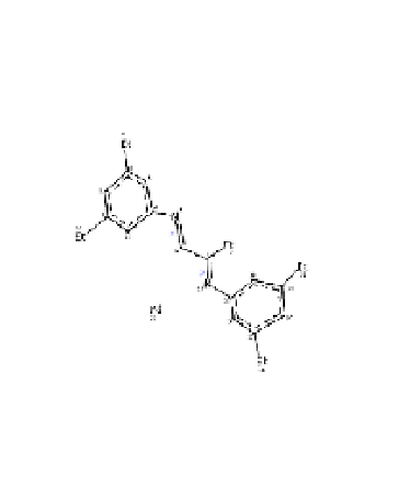 CCC(/C=N/c1cc(CC)cc(CC)c1)=N\c1cc(CC)cc(CC)c1.[Pd]